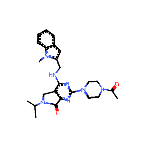 CC(=O)N1CCN(c2nc(NCc3cc4ccccc4n3C)c3c(n2)C(=O)N(C(C)C)C3)CC1